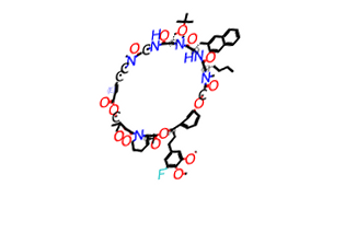 CCCC[C@H]1C(=O)N[C@@H](Cc2ccc3ccccc3c2)C(=O)N(C)[C@@H](COC(C)(C)C)C(=O)NCC(=O)N(C)CC/C=C/C(=O)OCC(C)(C)C(=O)C(=O)N2CCCC[C@H]2C(=O)O[C@H](CCc2cc(F)c(OC)c(OC)c2)c2cccc(c2)OCC(=O)N1C